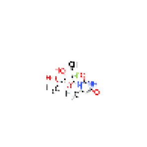 C#C[C@@]1(F)C(O)[C@@H]([C@@H](C)O)O[C@H]1n1c(C)cc(=O)[nH]c1=O